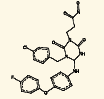 O=NC(=O)CCN1C(=O)NC(Nc2ccc(Oc3ccc(F)cc3)cc2)N(Cc2ccc(Cl)cc2)C1=O